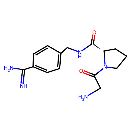 N=C(N)c1ccc(CNC(=O)[C@@H]2CCCN2C(=O)CN)cc1